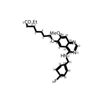 CCOC(=O)CCCCCCOc1cc2c(NCc3ccc(F)cc3)ncnc2cc1OC